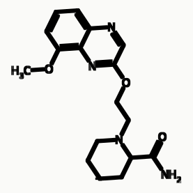 COc1cccc2ncc(OCCN3CC[CH]CC3C(N)=O)nc12